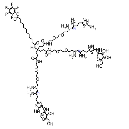 N/C(=C\N(N)CCOCCOCCNC(=O)CCC(CCC(=O)NCCOCCOCCN(N)/C=C(\N)CCc1nnc(N[C@H]2CO[C@H](CO)[C@H](O)[C@@H]2O)s1)(CCC(=O)NCCOCCOCCN(N)/C=C(\N)CCc1nnc(N[C@H]2CO[C@H](CO)[C@H](O)[C@@H]2O)s1)NC(=O)CCCCCCCCCCC(=O)Oc1c(F)c(F)c(F)c(F)c1F)CCc1nnc(N)s1